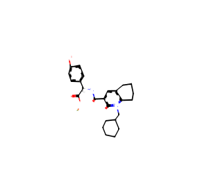 O=C(N[C@@H](C(=O)OCl)c1ccc(O)cc1)c1cc2c(n(CC3CCCCC3)c1=O)CCCC2